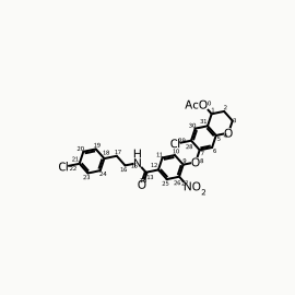 CC(=O)OC1CCOc2cc(Oc3ccc(C(=O)NCCc4ccc(Cl)cc4)cc3[N+](=O)[O-])c(Cl)cc21